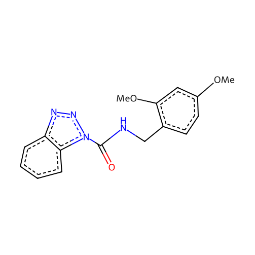 COc1ccc(CNC(=O)n2nnc3ccccc32)c(OC)c1